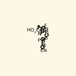 CCn1cncc1Cn1c(CN2CCC(Oc3ccc(F)c(COc4ccc(C#N)cc4F)n3)CC2)nc2c(F)cc(C3C#CC3C(=O)O)cc21